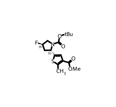 COC(=O)c1cc([C@@H]2C[C@@H](F)CN2C(=O)OC(C)(C)C)sc1C